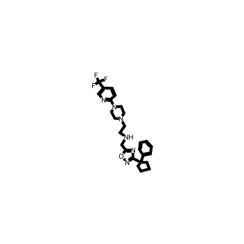 FC(F)(F)c1ccc(N2CCN(CCNCc3nc(C4(c5ccccc5)CCCC4)no3)CC2)nc1